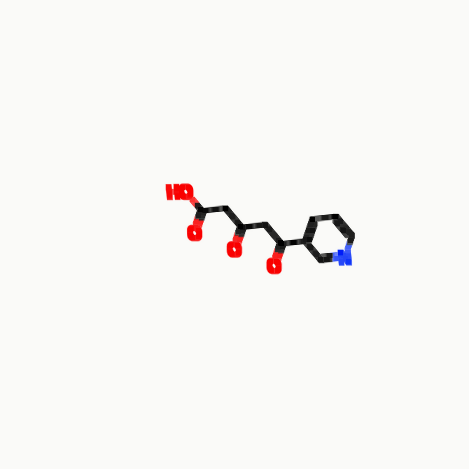 O=C(O)CC(=O)CC(=O)c1cccnc1